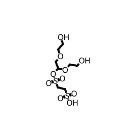 O=S(=O)(O)CCS(=O)(=O)OC(COCCO)OCCO